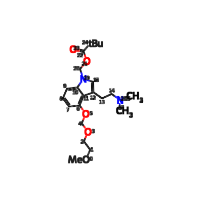 COCCOCOc1cccc2c1c(CCN(C)C)cn2COC(=O)C(C)(C)C